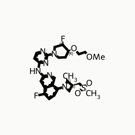 COCCO[C@@H]1CCN(c2nccc(Nc3cc4c(F)ccc(N5C[C@H](CS(C)(=O)=O)[C@H]5C)c4cn3)n2)C[C@@H]1F